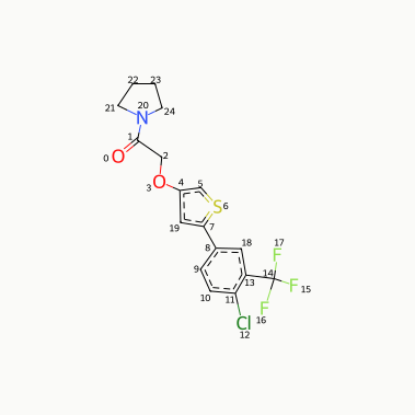 O=C(COc1csc(-c2ccc(Cl)c(C(F)(F)F)c2)c1)N1CCCC1